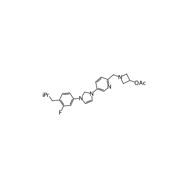 CC(=O)OC1CN(Cc2ccc(N3C=CN(c4ccc(CC(C)C)c(F)c4)C3)cn2)C1